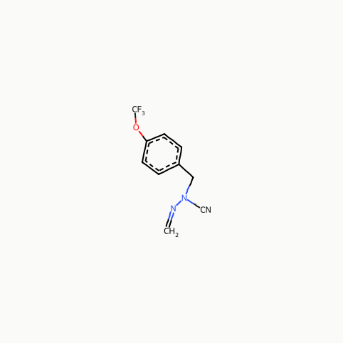 C=NN(C#N)Cc1ccc(OC(F)(F)F)cc1